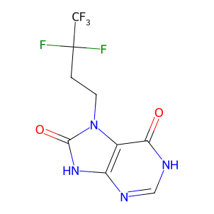 O=c1[nH]cnc2[nH]c(=O)n(CCC(F)(F)C(F)(F)F)c12